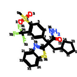 CS(=O)(=O)c1ccc(C(CC2CCCC2)(C(N)=O)c2nc3ccccc3s2)cc1C(F)(F)F